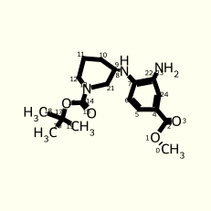 COC(=O)c1ccc(N[C@@H]2CCCN(C(=O)OC(C)(C)C)C2)c(N)c1